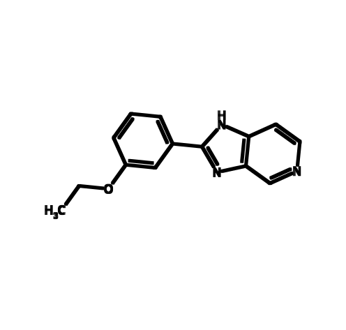 CCOc1cccc(-c2nc3cnccc3[nH]2)c1